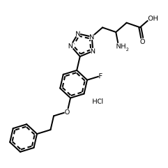 Cl.NC(CC(=O)O)Cn1nnc(-c2ccc(OCCc3ccccc3)cc2F)n1